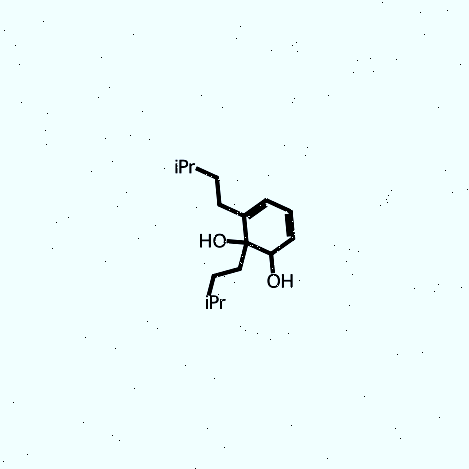 CC(C)CCC1=CC=CC(O)C1(O)CCC(C)C